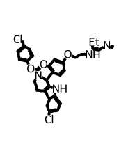 C=N/C=C(\CC)NCCOc1ccc(C2C3=C(CCN2C(=O)Oc2ccc(Cl)cc2)C2CC(Cl)=CC=C2N3)cc1